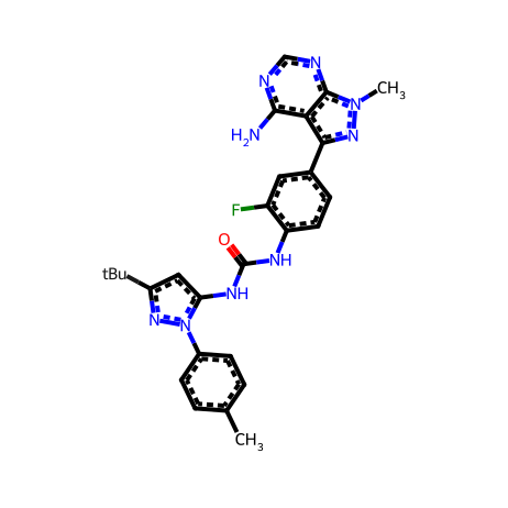 Cc1ccc(-n2nc(C(C)(C)C)cc2NC(=O)Nc2ccc(-c3nn(C)c4ncnc(N)c34)cc2F)cc1